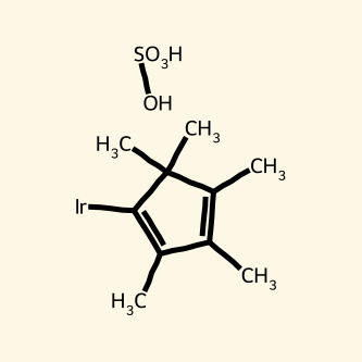 CC1=C(C)C(C)(C)[C]([Ir])=C1C.O=S(=O)(O)O